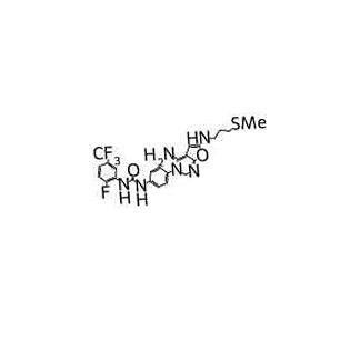 CSCCCNc1cc2c(o1)=NCN(c1ccc(NC(=O)Nc3cc(C(F)(F)F)ccc3F)cc1)C=2N